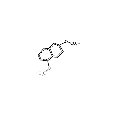 O=C(O)Oc1ccc2c(OC(=O)O)cccc2c1